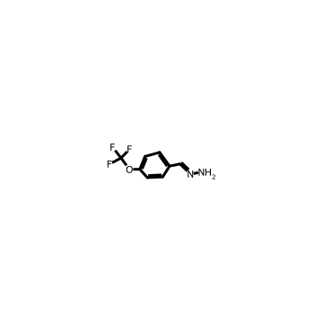 N/N=C/c1ccc(OC(F)(F)F)cc1